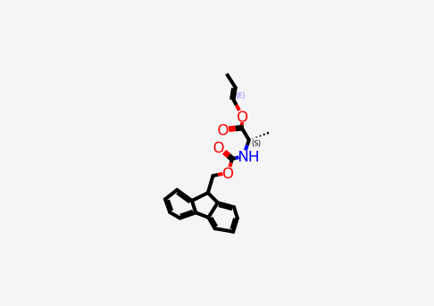 C/C=C/OC(=O)[C@H](C)NC(=O)OCC1c2ccccc2-c2ccccc21